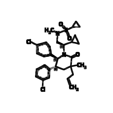 C=CCC1(C)C[C@H](c2cccc(Cl)c2)[C@@H](c2ccc(Cl)cc2)N([C@@H](CN(C)S(=O)(=O)C2CC2)C2CC2)C1=O